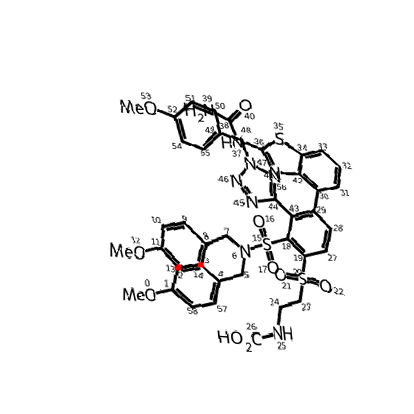 COc1ccc(CN(Cc2ccc(OC)cc2)S(=O)(=O)c2c(S(=O)(=O)CCNC(=O)O)ccc(-c3cccc4sc(NC(N)=O)nc34)c2-c2nnn(Cc3ccc(OC)cc3)n2)cc1